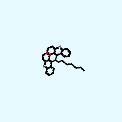 CCCCCCCC(c1c2ccccc2nc2ccccc12)c1c2ccccc2nc2ccccc12